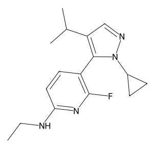 CCNc1ccc(-c2c(C(C)C)cnn2C2CC2)c(F)n1